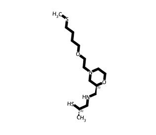 CSCCCCOCCN1CCO[C@@H](CNC[C@H](C)S)C1